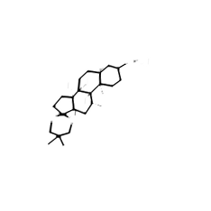 CC1(C)COC2(CC[C@H]3[C@@H]4CC[C@H]5CC(OS)CC[C@]5(C)[C@H]4[C@@H](O)C[C@@]32C)OC1